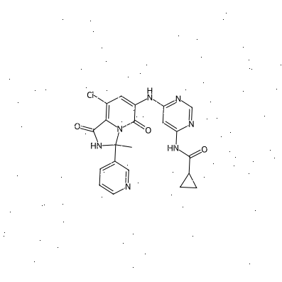 CC1(c2cccnc2)NC(=O)c2c(Cl)cc(Nc3cc(NC(=O)C4CC4)ncn3)c(=O)n21